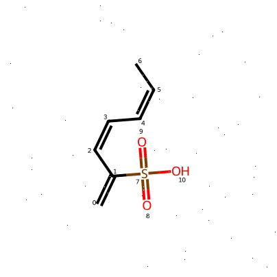 C=C(/C=C\C=C/C)S(=O)(=O)O